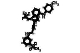 CN1CCC(Nc2cccc3c2cc(C#CCNc2cccc(S(C)(=O)=O)c2)n3CC(F)(F)F)CC1